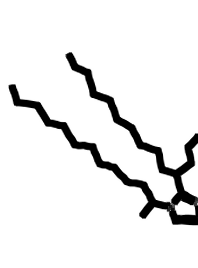 CCCCCCCCCCCC(C)n1ccnc1C(CCC)CCCCCCCCCC